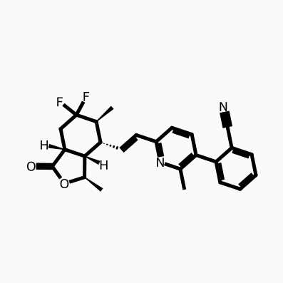 Cc1nc(/C=C/[C@@H]2[C@@H]3[C@@H](C)OC(=O)[C@@H]3CC(F)(F)[C@H]2C)ccc1-c1ccccc1C#N